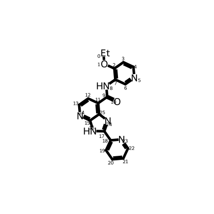 CCOc1ccncc1NC(=O)c1ccnc2[nH]c(-c3ccccn3)nc12